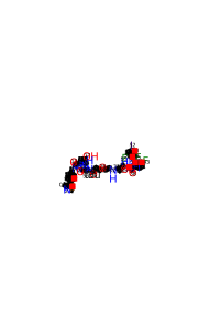 Cc1ncsc1-c1ccc(CNC(=O)[C@@H]2C[C@@H](O)CN2C(=O)[C@@H](NC(=O)CCOCCNCCCONC(=O)c2ccc(F)c(F)c2Nc2ccc(I)cc2F)C(C)(C)C)cc1